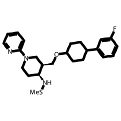 CSN[C@H]1CCN(c2ccccn2)C[C@H]1COC1CCC(c2cccc(F)c2)CC1